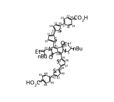 CCCCC(CC)CN1C(=O)C2=C(c3ccc(-c4ccc(-c5ccc(C(=O)O)cc5)s4)s3)N(CC(CC)CCCC)C(=O)C2=C1c1ccc(-c2ccc(-c3ccc(C(=O)O)cc3)s2)s1